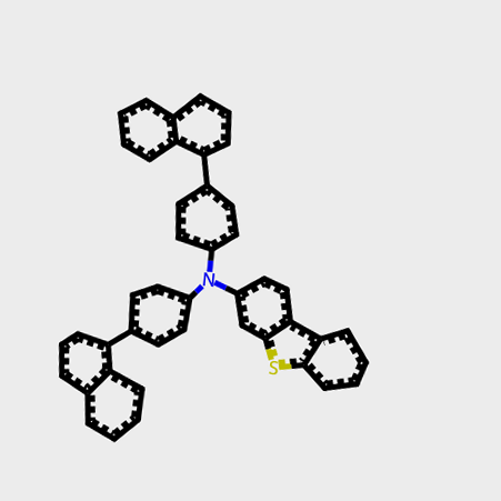 c1ccc2c(-c3ccc(N(c4ccc(-c5cccc6ccccc56)cc4)c4ccc5c(c4)sc4ccccc45)cc3)cccc2c1